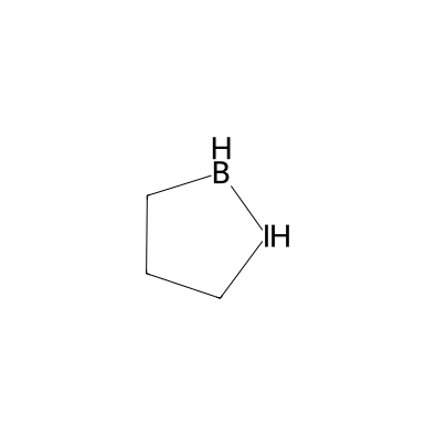 B1CCC[IH]1